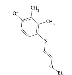 CCO/C=C/Sc1cc[n+]([O-])c(C)c1C